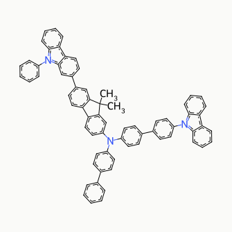 CC1(C)c2cc(-c3ccc4c5ccccc5n(-c5ccccc5)c4c3)ccc2-c2ccc(N(c3ccc(-c4ccccc4)cc3)c3ccc(-c4ccc(-n5c6ccccc6c6ccccc65)cc4)cc3)cc21